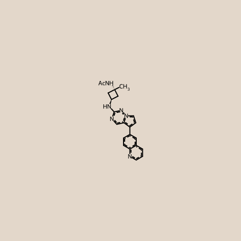 CC(=O)N[C@]1(C)C[C@@H](Nc2ncc3c(-c4ccc5ncccc5c4)ccn3n2)C1